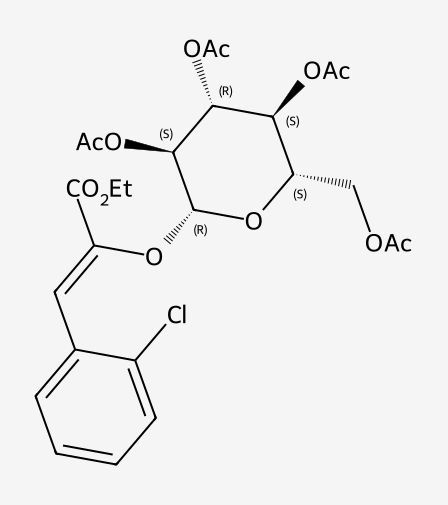 CCOC(=O)C(=Cc1ccccc1Cl)O[C@H]1O[C@@H](COC(C)=O)[C@H](OC(C)=O)[C@@H](OC(C)=O)[C@@H]1OC(C)=O